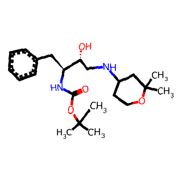 CC(C)(C)OC(=O)N[C@@H](Cc1ccccc1)[C@H](O)CNC1CCOC(C)(C)C1